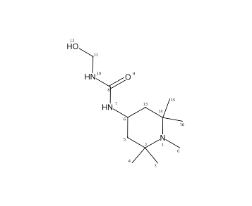 CN1C(C)(C)CC(NC(=O)NCO)CC1(C)C